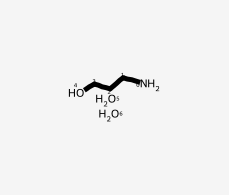 NCCCO.O.O